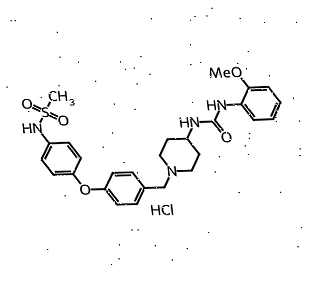 COc1ccccc1NC(=O)NC1CCN(Cc2ccc(Oc3ccc(NS(C)(=O)=O)cc3)cc2)CC1.Cl